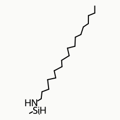 CCCCCCCCCCCCCCCCCCN[SiH](C)C